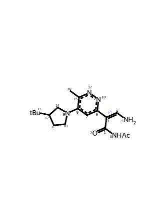 CC(=O)NC(=O)/C(=C\N)c1cc(N2CCC(C(C)(C)C)C2)c(C)nn1